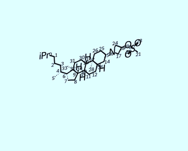 CC(C)CCC[C@@H](C)[C@H]1CC[C@H]2[C@@H]3CC[C@H]4C[C@@H](N5CC(OS(C)(=O)=O)C5)CC[C@]4(C)[C@H]3CC[C@]12C